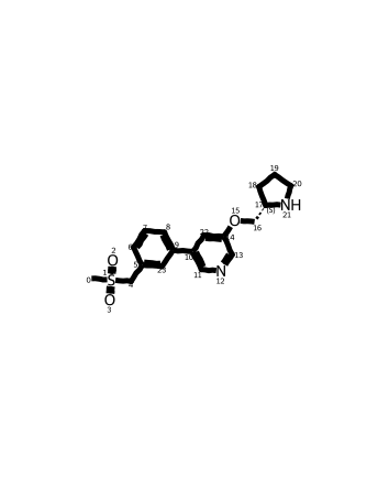 CS(=O)(=O)Cc1cccc(-c2cncc(OC[C@@H]3CCCN3)c2)c1